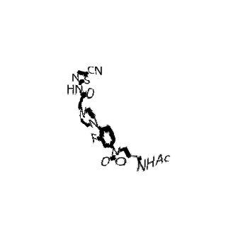 CC(=O)NC[C@H]1CN(c2ccc(N3CCN(CC(=O)Nc4ncc(C#N)s4)CC3)c(F)c2)C(=O)O1